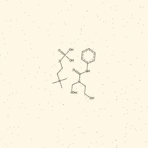 CCCCCCCCCCCN(CCO)C(=O)Nc1ccccc1.C[N+](C)(C)CCOP(=O)(O)O